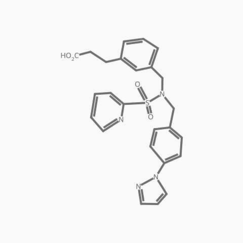 O=C(O)CCc1cccc(CN(Cc2ccc(-n3cccn3)cc2)S(=O)(=O)c2ccccn2)c1